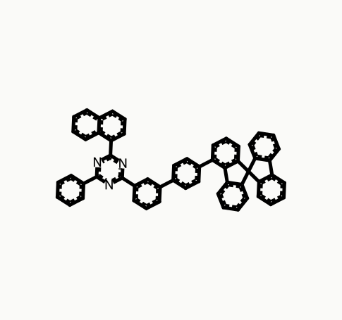 c1ccc(-c2nc(-c3cccc(-c4ccc(-c5cccc6c5-c5ccccc5C65c6ccccc6-c6ccccc65)cc4)c3)nc(-c3cccc4ccccc34)n2)cc1